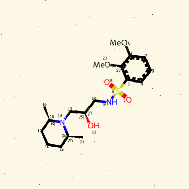 COc1cccc(S(=O)(=O)NC[C@@H](O)CN2[C@H](C)CCC[C@@H]2C)c1OC